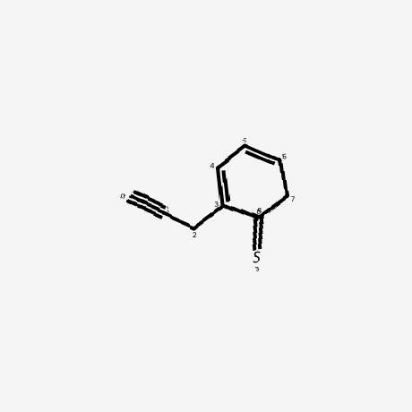 C#CCC1=CC=CCC1=S